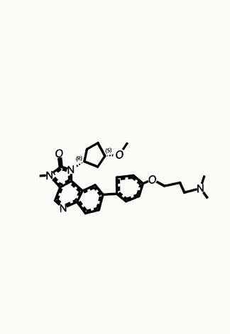 CO[C@H]1CC[C@@H](n2c(=O)n(C)c3cnc4ccc(-c5ccc(OCCCN(C)C)cc5)cc4c32)C1